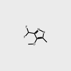 COC1=C(C)[N]N=C1C(F)F